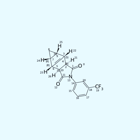 O=C1[C@@H]2[C@@H]3C=C[C@@H]([C@@H]4C[C@H]34)[C@@H]2C(=O)N1c1cccc(C(F)(F)F)c1